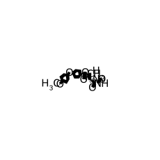 COc1ccc(Oc2ccc(S(=O)(=O)N(C)C[C@@H]3NC(=O)NC3=O)cc2)cc1